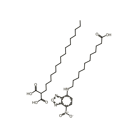 CCCCCCCCCCCCCCCCC(C(=O)O)C(=O)O.O=C(O)CCCCCCCCCCCNc1ccc([N+](=O)[O-])c2nonc12